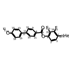 CCCCCCCc1ccc(OC(=O)c2ccc(-c3ccc(OCCC)cc3)cc2)c(F)c1F